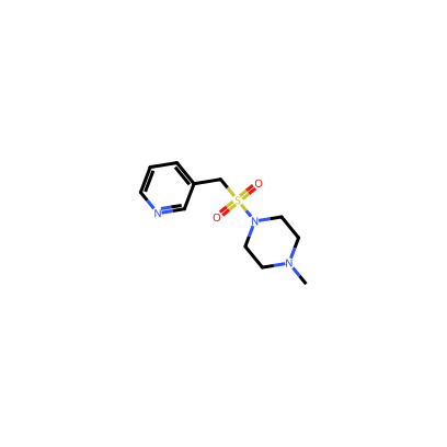 CN1CCN(S(=O)(=O)Cc2cccnc2)CC1